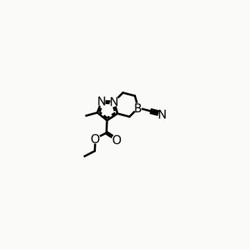 CCOC(=O)c1c(C)nn2c1CB(C#N)CC2